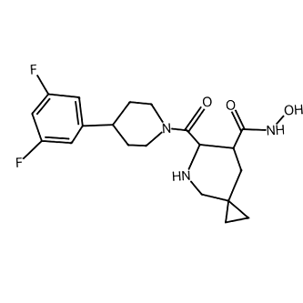 O=C(NO)C1CC2(CC2)CNC1C(=O)N1CCC(c2cc(F)cc(F)c2)CC1